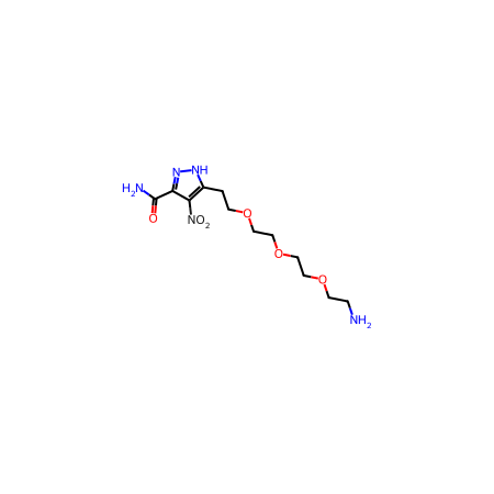 NCCOCCOCCOCCc1[nH]nc(C(N)=O)c1[N+](=O)[O-]